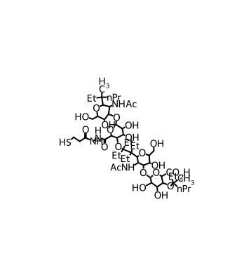 CCCC(C)(CC)OC1C(C(=O)O)OC(OC2C(O)C(CO)OC(C(CC)(CC)C(CC)(CC)OC3C(C(=O)NNC(=O)CCS)OC(OC4C(O)C(CO)OC(C(C)(CC)CCC)C4NC(C)=O)C(O)C3O)C2NC(C)=O)C(O)C1O